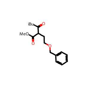 CCC(C)C(=O)C(CCOCc1ccccc1)C(=O)OC